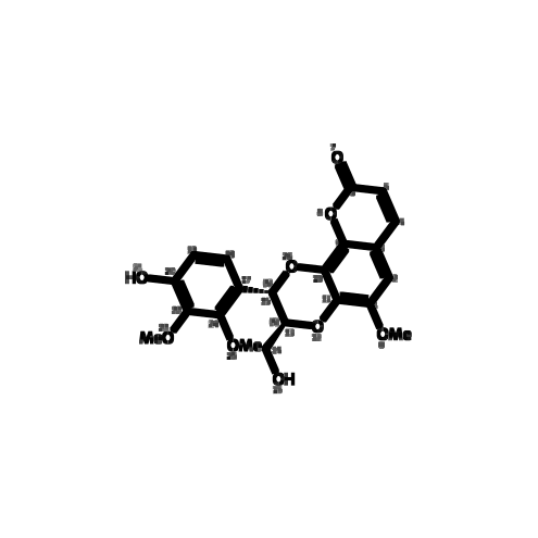 COc1cc2ccc(=O)oc2c2c1O[C@@H](CO)[C@H](c1ccc(O)c(OC)c1OC)O2